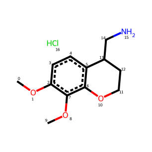 COc1ccc2c(c1OC)OCCC2CN.Cl